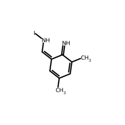 CC1=C/C(=C/NI)C(=N)C(C)=C1